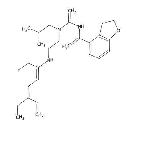 C=C/C(=C\C=C(/CI)NCCN(CC(C)C)C(=C)NC(=C)c1cccc2c1CCO2)CC